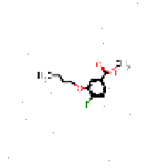 CCCCOc1cc(C(=O)OC)ccc1F